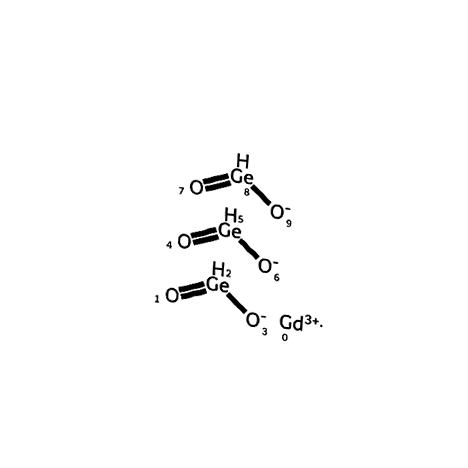 [Gd+3].[O]=[GeH][O-].[O]=[GeH][O-].[O]=[GeH][O-]